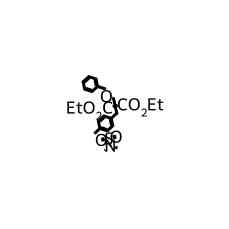 CCOC(=O)C(COCc1ccccc1)(Cc1ccc(C)c(S(=O)(=O)N(C)C)c1)C(=O)OCC